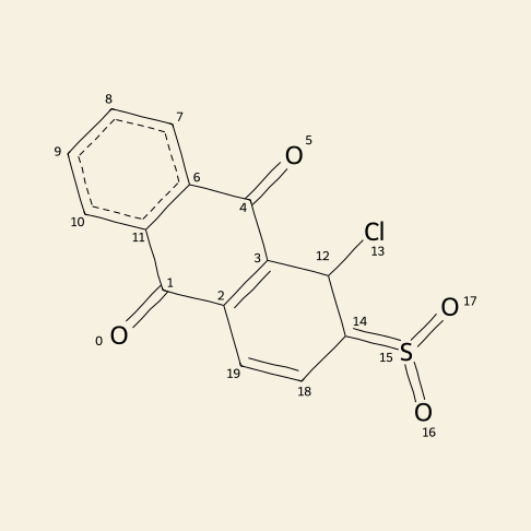 O=C1C2=C(C(=O)c3ccccc31)C(Cl)C(=S(=O)=O)C=C2